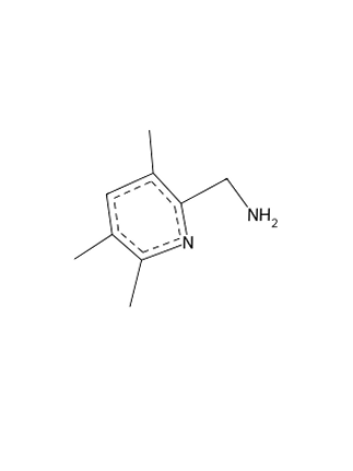 Cc1cc(C)c(CN)nc1C